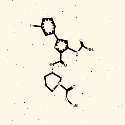 CCCCOC(=O)N1CCC[C@H](NC(=O)c2sc(-c3cccc(F)c3)cc2NC(N)=O)C1